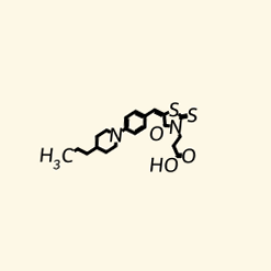 CCCC1CCN(c2ccc(C=C3SC(=S)N(CCC(=O)O)C3=O)cc2)CC1